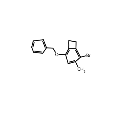 Cc1cc(OCc2ccccc2)c2c(c1Br)CC2